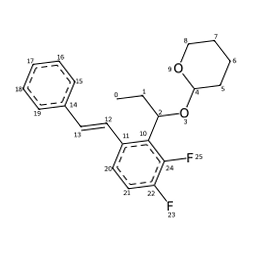 CCC(OC1CCCCO1)c1c(C=Cc2ccccc2)ccc(F)c1F